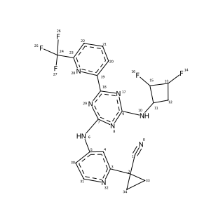 N#CC1(c2cc(Nc3nc(NC4CC(F)C4F)nc(-c4cccc(C(F)(F)F)n4)n3)ccn2)CC1